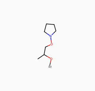 CCOC(C)CON1CCCC1